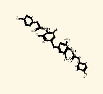 CCc1cc(Cc2cc(CC)c(NC(=O)Cc3ccc(Cl)cc3)c(CC)c2)cc(CC)c1NC(=O)Cc1ccc(Cl)cc1